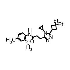 CCC1(CC)CC(c2nnc(CCC(=O)Nc3ccc(C)cc3C)n2C2CC2)C1